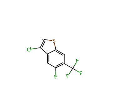 Fc1cc2c(Cl)[c]sc2cc1C(F)(F)F